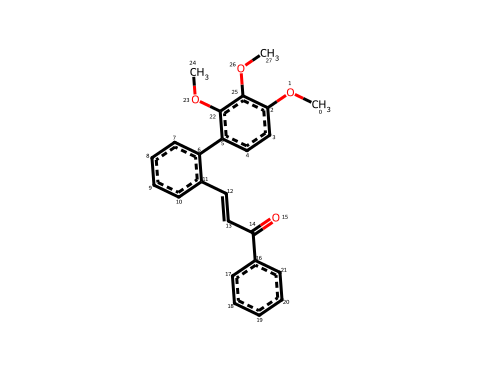 COc1ccc(-c2ccccc2/C=C/C(=O)c2ccccc2)c(OC)c1OC